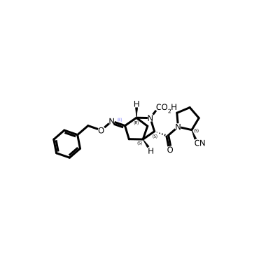 N#C[C@@H]1CCCN1C(=O)[C@@H]1[C@@H]2C/C(=N\OCc3ccccc3)[C@@H](C2)N1C(=O)O